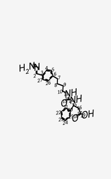 NN=Cc1ccc(CCCCNC(=O)NC(CC(=O)O)c2ccccc2)cc1